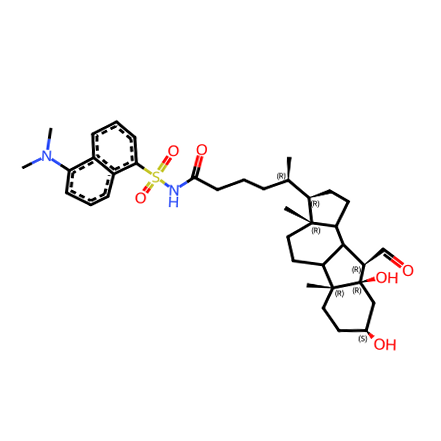 C[C@H](CCCC(=O)NS(=O)(=O)c1cccc2c(N(C)C)cccc12)[C@H]1CCC2C3C(CC[C@@]21C)[C@@]1(C)CC[C@H](O)C[C@@]1(O)[C@@H]3C=O